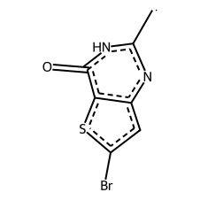 [CH2]c1nc2cc(Br)sc2c(=O)[nH]1